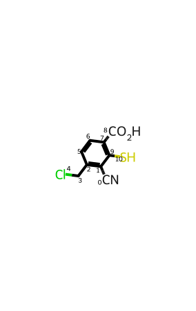 N#Cc1c(CCl)ccc(C(=O)O)c1S